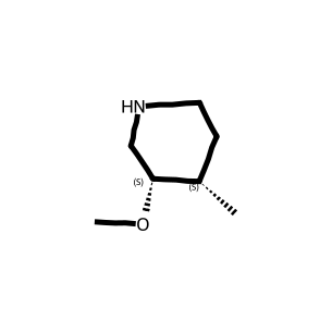 CO[C@@H]1CNCC[C@@H]1C